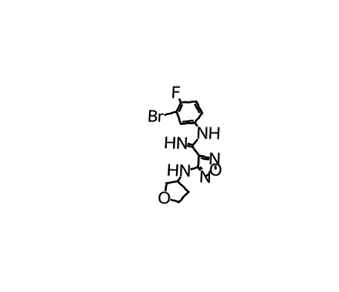 N=C(Nc1ccc(F)c(Br)c1)c1nonc1NC1CCOC1